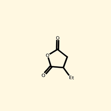 CCC1CC(=O)OC1=O